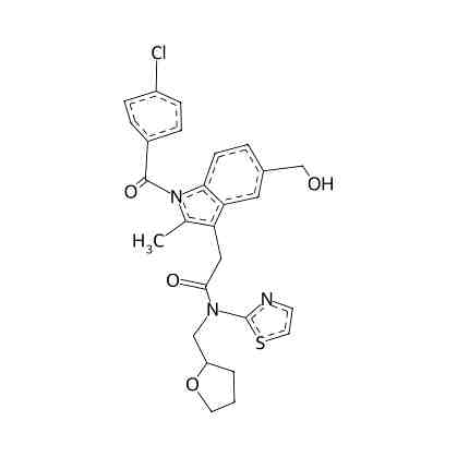 Cc1c(CC(=O)N(CC2CCCO2)c2nccs2)c2cc(CO)ccc2n1C(=O)c1ccc(Cl)cc1